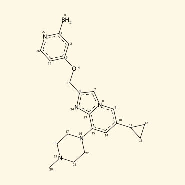 Bc1cc(OCc2cn3cc(C4CC4)cc(N4CCN(C)CC4)c3n2)ccn1